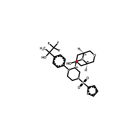 CC(O)(c1ccc(N2CCN(S(=O)(=O)c3cccs3)C[C@@H]2CN2[C@@H]3COC[C@H]2CC(O)C3)cc1)C(F)(F)F